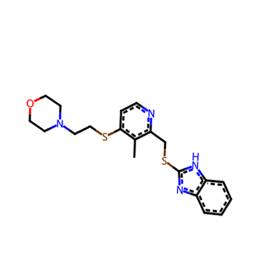 Cc1c(SCCN2CCOCC2)ccnc1CSc1nc2ccccc2[nH]1